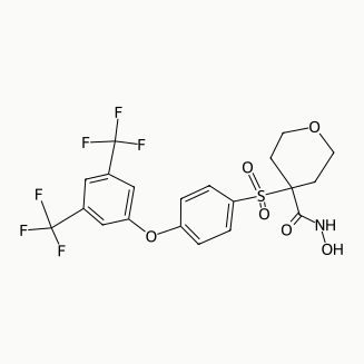 O=C(NO)C1(S(=O)(=O)c2ccc(Oc3cc(C(F)(F)F)cc(C(F)(F)F)c3)cc2)CCOCC1